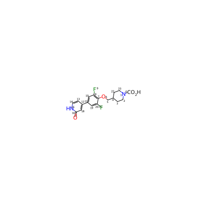 O=C(O)N1CCC(COc2c(F)cc(-c3cc[nH]c(=O)c3)cc2F)CC1